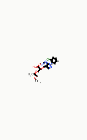 COC[C@@H](C)OCC(Oc1ncnc2c1cnn2-c1ccccc1Cl)C(=O)O